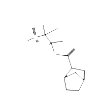 CS(=O)(=O)C(F)(F)C(F)(F)OC(=O)C1CC2CCC1C2